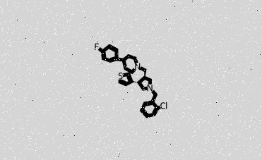 Fc1ccc(C2CCN(C[C@H]3CN(Cc4ccccc4Cl)C[C@@H]3c3ccsc3)CC2)cc1